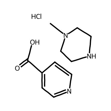 CN1CCNCC1.Cl.O=C(O)c1ccncc1